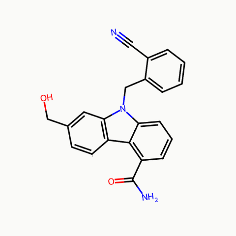 N#Cc1ccccc1Cn1c2cc(CO)c[c]c2c2c(C(N)=O)cccc21